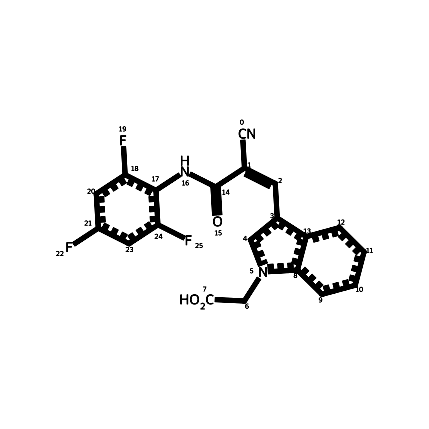 N#CC(=Cc1cn(CC(=O)O)c2ccccc12)C(=O)Nc1c(F)cc(F)cc1F